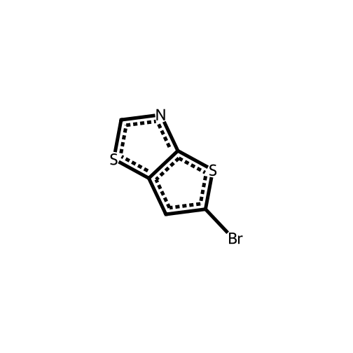 Brc1cc2scnc2s1